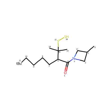 CC1CN(C(=O)C(CCCCC(C)(C)C)C(C)(C)SS)C1